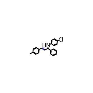 Cc1ccc(/C=C/C(Nc2ccc(Cl)cc2)c2ccccc2)cc1